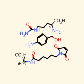 CC(C)[C@H](NC(=O)CCCCCN1C(=O)C=CC1=O)C(=O)O.NC(=O)NCCC[C@H](N)C(=O)O.Nc1ccc(CO)cc1